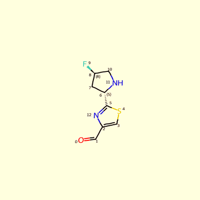 O=Cc1csc([C@@H]2C[C@@H](F)CN2)n1